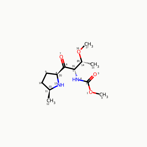 COC(=O)N[C@H](C(=O)[C@@H]1CC[C@H](C)N1)[C@@H](C)OC